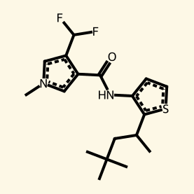 CC(CC(C)(C)C)c1sccc1NC(=O)c1cn(C)cc1C(F)F